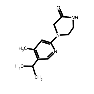 Cc1cc(N2CCNC(=O)C2)ncc1C(C)C